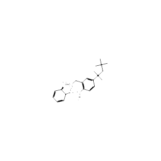 CC(C)(C)CC(C)(C)c1ccc(N=O)c(CN2N=C3C=CC=CC3N2)c1